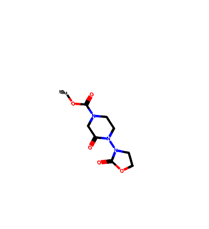 CC(C)(C)OC(=O)N1CCN(N2CCOC2=O)C(=O)C1